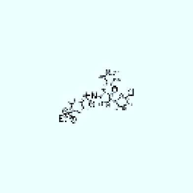 CCS(=O)(=O)c1ccc(CC(=O)Nc2ccc(-c3cccc(Cl)c3)c(Oc3ccccc3)c2)cc1